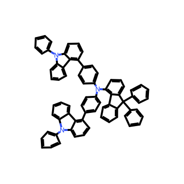 c1ccc(-n2c3ccccc3c3c(-c4ccc(N(c5ccc(-c6cccc7c6c6ccccc6n7-c6ccccc6)cc5)c5cccc6c5-c5ccccc5C6(c5ccccc5)c5ccccc5)cc4)cccc32)cc1